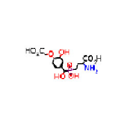 N[C@@H](CCP(=O)(O)C(O)c1ccc(OCC(=O)O)c(O)c1)C(=O)O